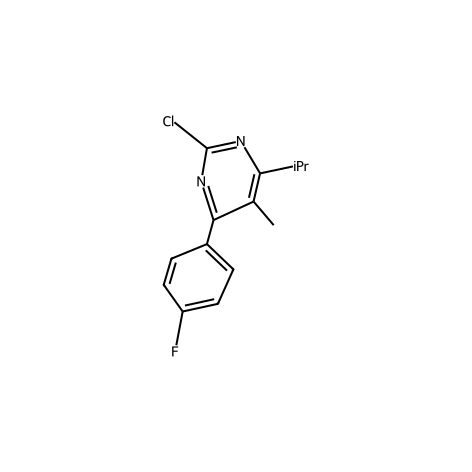 Cc1c(-c2ccc(F)cc2)nc(Cl)nc1C(C)C